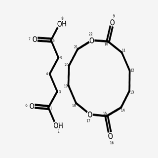 O=C(O)CCCC(=O)O.O=C1CCCCC(=O)OCCCCO1